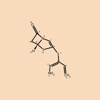 C=CC(=NN)SC1=CN2C(=O)C[C@H]2S1